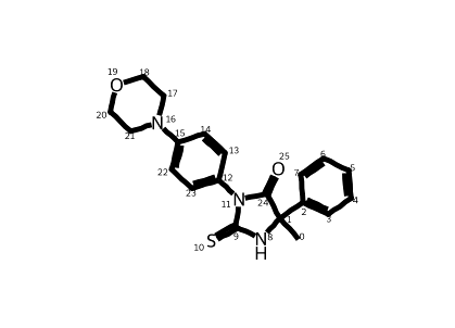 CC1(c2ccccc2)NC(=S)N(c2ccc(N3CCOCC3)cc2)C1=O